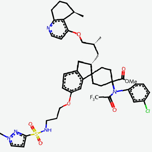 COC(=O)C1(N(C(=O)C(F)(F)F)c2cccc(Cl)c2)CCC2(CC1)c1cc(OCCCNS(=O)(=O)c3ccn(C)n3)ccc1C[C@@H]2C[C@@H](C)COc1ccnc2c1[C@H](C)CCC2